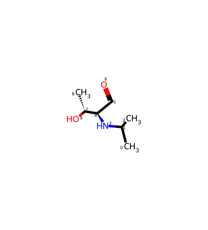 CC(C)N[C@H](C=O)[C@@H](C)O